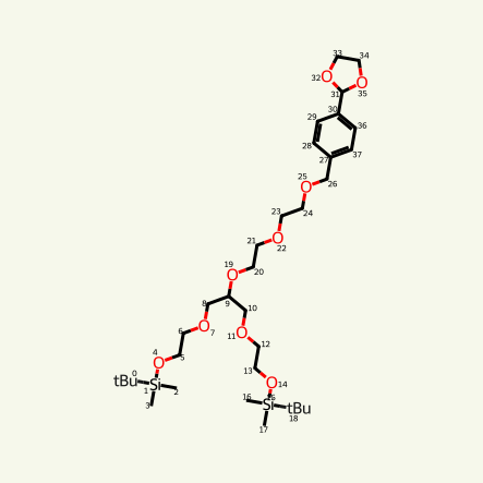 CC(C)(C)[Si](C)(C)OCCOCC(COCCO[Si](C)(C)C(C)(C)C)OCCOCCOCc1ccc(C2OCCO2)cc1